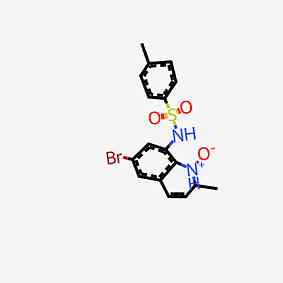 Cc1ccc(S(=O)(=O)Nc2cc(Br)cc3c2[NH+]([O-])C(C)C=C3)cc1